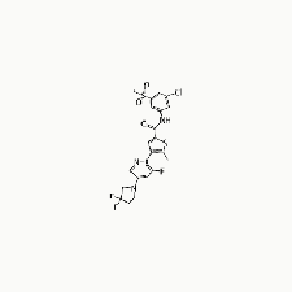 Cc1sc(C(=O)Nc2cc(Cl)cc(S(C)(=O)=O)c2)cc1-c1ncc(N2CCC(F)(F)C2)cc1F